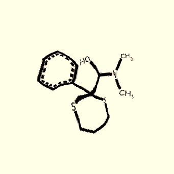 CN(C)C(O)C1(c2ccccc2)SCCCS1